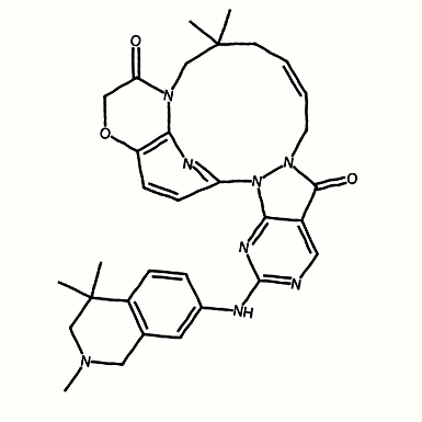 CN1Cc2cc(Nc3ncc4c(=O)n5n(c4n3)-c3ccc4c(n3)N(CC(C)(C)C/C=C\C5)C(=O)CO4)ccc2C(C)(C)C1